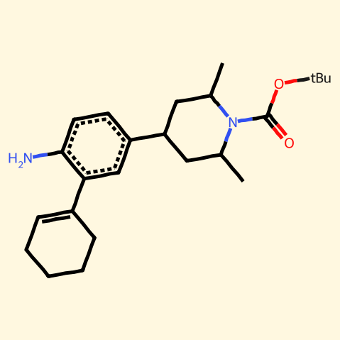 CC1CC(c2ccc(N)c(C3=CCCCC3)c2)CC(C)N1C(=O)OC(C)(C)C